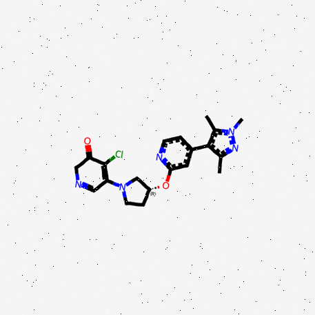 Cc1nn(C)c(C)c1-c1ccnc(O[C@@H]2CCN(C3=C(Cl)C(=O)CN=C3)C2)c1